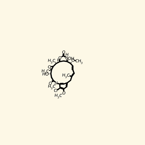 COc1cc2cc(c1Cl)N(C)C(=O)C[C@H](O)[C@]1(C)OC1[C@H](C)[C@@H]1C[C@@](O)(NC(=O)O1)[C@H](OC)/C=C/C=C(\C)C2